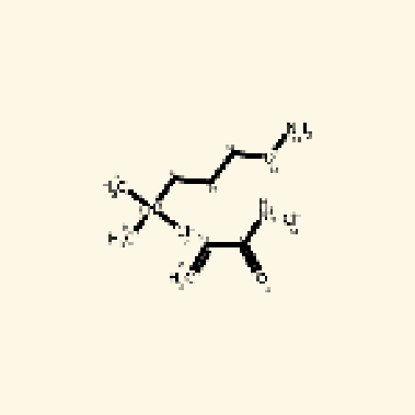 C=CC(N)=O.C[N+](C)(C)CCCON.[Cl-]